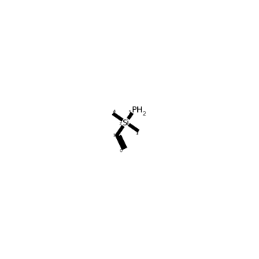 C=C[Si](C)(C)P